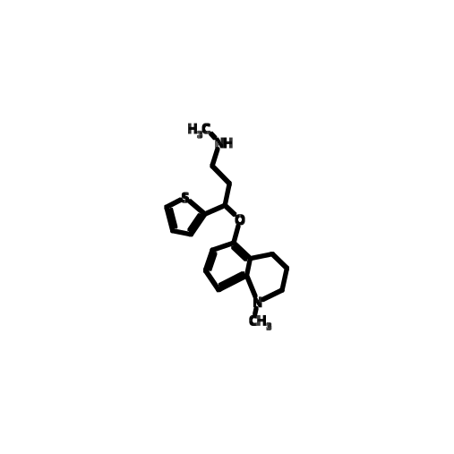 CNCCC(Oc1cccc2c1CCCN2C)c1cccs1